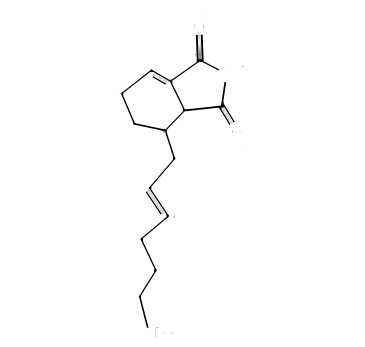 CCCCCCCCCCCCCC=CCC1CCC=C2C(=O)OC(=O)C21